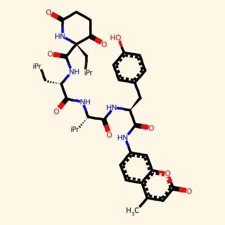 Cc1cc(=O)oc2cc(NC(=O)[C@H](Cc3ccc(O)cc3)NC(=O)[C@@H](NC(=O)[C@H](CC(C)C)NC(=O)[C@]3(CC(C)C)NC(=O)CCC3=O)C(C)C)ccc12